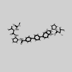 COC(=O)N[C@H](C(=O)N[C@@H]1CCC[C@H]1NC(=O)c1ccc(-c2ccc(-c3ccc4[nH]c([C@@H]5CCCN5C(=O)[C@@H](C)C(C)C)nc4c3)cc2)cc1)C(C)C